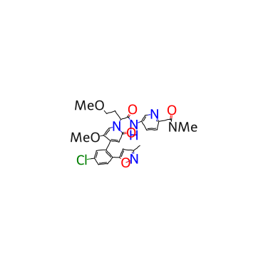 CNC(=O)c1ccc(NC(=O)C(CCOC)n2cc(OC)c(-c3cc(Cl)ccc3-c3cc(C)no3)cc2=O)cn1